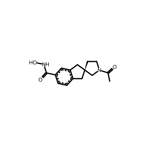 CC(=O)N1CC[C@]2(Cc3ccc(C(=O)NO)cc3C2)C1